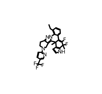 CCc1cccc2c1-n1nc3c(c1C1(C)C2=C(F)C(C)(F)c2[nH]ccc21)CN(c1ccc(C(F)(F)F)cn1)CC3